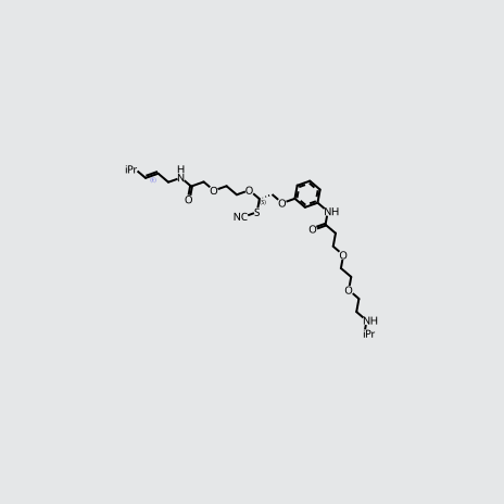 CC(C)/C=C/CNC(=O)COCCO[C@H](COc1cccc(NC(=O)CCOCCOCCNC(C)C)c1)SC#N